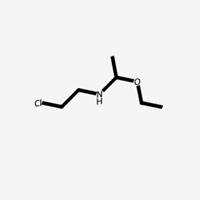 CCOC(C)NCCCl